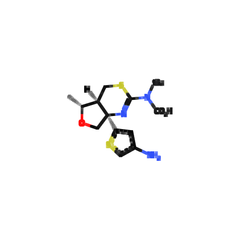 C[C@H]1OC[C@]2(c3cc(N)cs3)N=C(N(C(=O)O)C(C)(C)C)SC[C@H]12